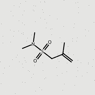 C=C(C)CS(=O)(=O)N(C)C